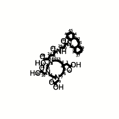 O=C(O)CC1CCCN(CC(=O)O)CCN(CC(=O)O)CCN(C(CCC(=O)NCCC(=O)N2Cc3ccccc3/C=C\c3ccccc32)C(=O)O)CCC1